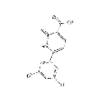 O=C(O)c1ccc(-c2cc(Cl)cc(Cl)c2)[nH]c1=O